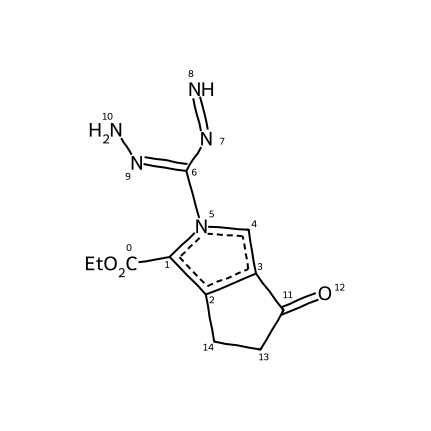 CCOC(=O)c1c2c(cn1C(N=N)=NN)C(=O)CC2